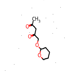 CC(=O)CC(=O)COC1CCCCO1